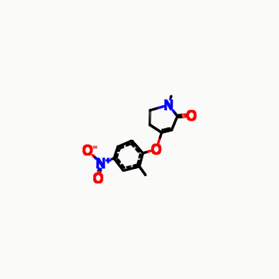 Cc1cc([N+](=O)[O-])ccc1OC1=CC(=O)N(C)CC1